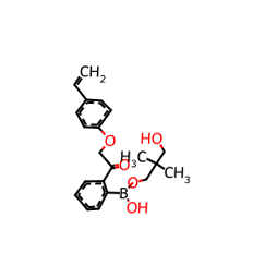 C=Cc1ccc(OCC(=O)c2ccccc2B(O)OCC(C)(C)CO)cc1